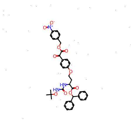 CC(C)(C)ONC(=O)NC(CCOc1ccc(C(=O)C(=O)OCc2ccc([N+](=O)[O-])cc2)cc1)C(=O)OC(c1ccccc1)c1ccccc1